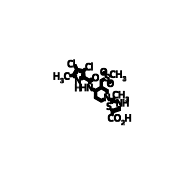 Cc1[nH]c(C(=O)NC2CCN(C3(C)NC=C(C(=O)O)S3)CC2CS(C)(=O)=O)c(Cl)c1Cl